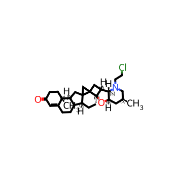 C[C@H]1C[C@H]2O[C@@]34CC[C@H]5C6CCC7=CC(=O)CC[C@]7(C)[C@H]6CC56CC63C[C@@H]4[C@@H]2N(CCCl)C1